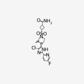 C[C@H]1CN(S(=O)(=O)C2CC(C(N)=O)C2)CC[C@H]1c1[nH]c(-c2ccc(F)cn2)nc1Cl